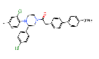 COc1ccc(-c2ccc(CC(=O)N3CCN(c4ccc(C)cc4Cl)C(c4ccc(Cl)cc4)C3)cc2)cc1